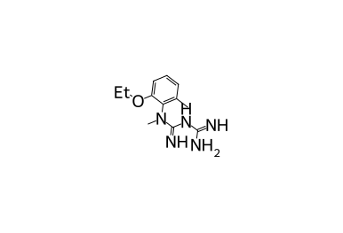 CCOc1cccc(C)c1N(C)C(=N)NC(=N)N